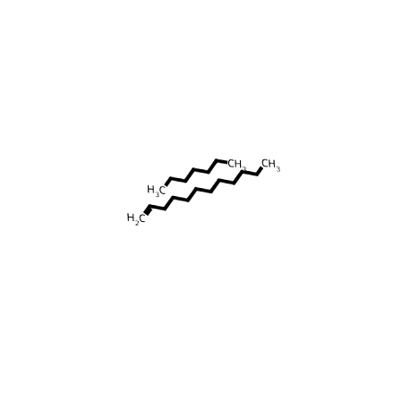 C=CCCCCCCCCCC.CCCCCCC